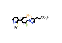 CC(C)Sc1ncccc1C(/C=C(/F)Cn1cc(CCC(=O)O)cn1)=C/CP